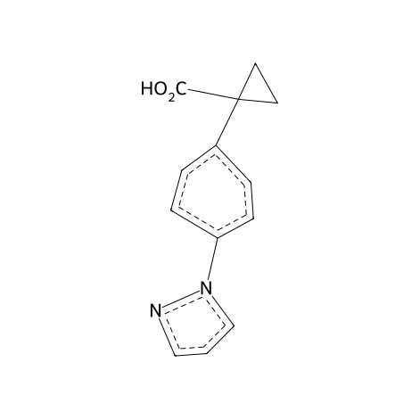 O=C(O)C1(c2ccc(-n3cccn3)cc2)CC1